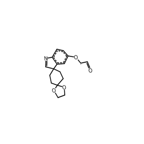 O=C[CH]Oc1ccc2c(c1)C1(C=N2)CCC2(CC1)OCCO2